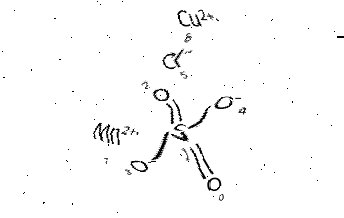 O=S(=O)([O-])[O-].[Cl-].[Cu+2].[Mn+2]